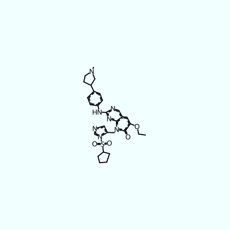 CCOc1cc2cnc(Nc3ccc(C4CCN(C)C4)cc3)nc2n(Cc2cncn2S(=O)(=O)C2CCCC2)c1=O